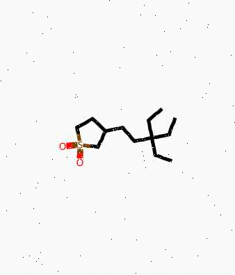 CCC(CC)(CC)CCC1CCS(=O)(=O)C1